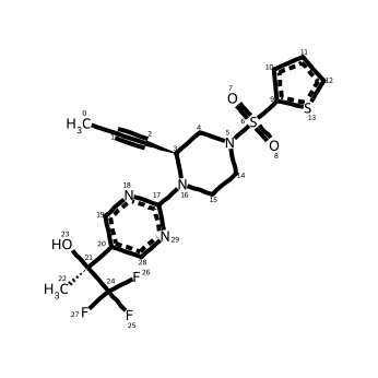 CC#C[C@H]1CN(S(=O)(=O)c2cccs2)CCN1c1ncc([C@](C)(O)C(F)(F)F)cn1